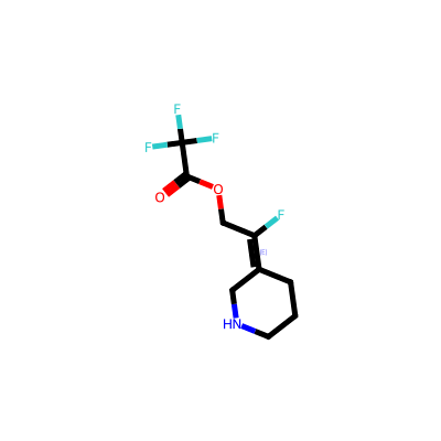 O=C(OC/C(F)=C1/CCCNC1)C(F)(F)F